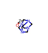 C1N2CN3CN1CN(C2)C3.[O]=[Zn]